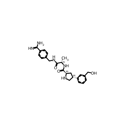 C[C@H](NC(=O)[C@H]1C[C@H](c2cccc(CO)c2)CN1)C(=O)NCc1ccc(C(=N)N)cc1